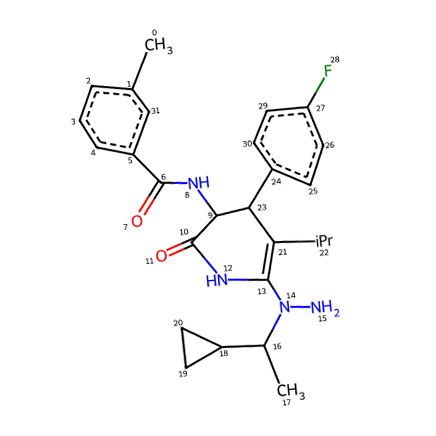 Cc1cccc(C(=O)NC2C(=O)NC(N(N)C(C)C3CC3)=C(C(C)C)C2c2ccc(F)cc2)c1